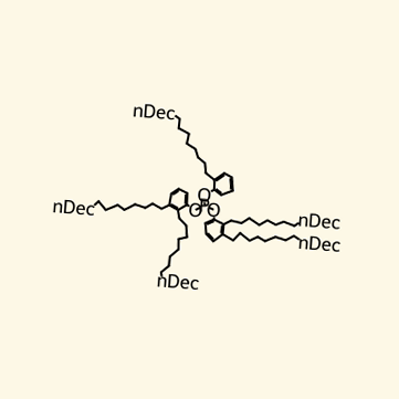 CCCCCCCCCCCCCCCCCCc1ccccc1OP(Oc1cccc(CCCCCCCCCCCCCCCCCC)c1CCCCCCCCCCCCCCCCCC)Oc1cccc(CCCCCCCCCCCCCCCCCC)c1CCCCCCCCCCCCCCCCCC